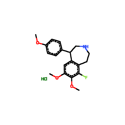 COc1ccc(C2CNCCc3c2cc(OC)c(OC)c3F)cc1.Cl